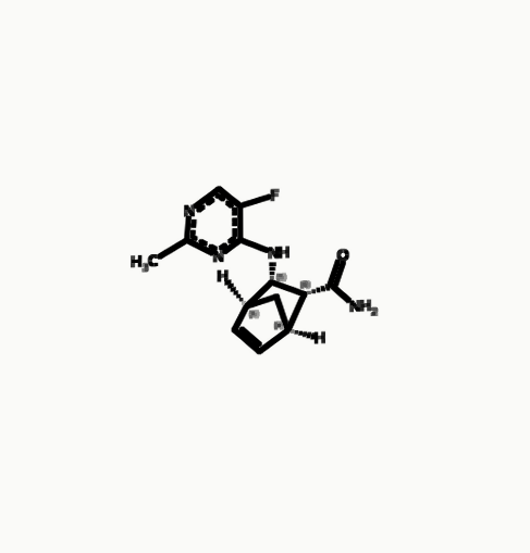 Cc1ncc(F)c(N[C@@H]2[C@H](C(N)=O)[C@H]3C=C[C@@H]2C3)n1